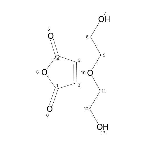 O=C1C=CC(=O)O1.OCCOCCO